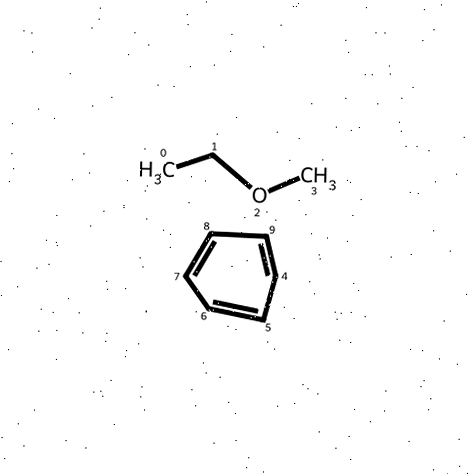 CCOC.c1ccccc1